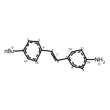 CCCCc1ccc(/C=C/c2ccc(N)cc2)cc1